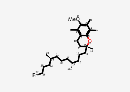 COc1c(C)c(C)c2c(c1C)CC[C@@](C)(CCC[C@H](C)CCC[C@H](C)CCCC(C)C)O2